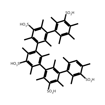 Cc1cc(C)c(S(=O)(=O)O)c(C)c1-c1c(C)c(-c2c(C)c(-c3c(C)c(-c4c(C)c(C)c(C)c(S(=O)(=O)O)c4C)c(C)c(S(=O)(=O)O)c3C)c(C)c(S(=O)(=O)O)c2C)c(C)c(S(=O)(=O)O)c1C